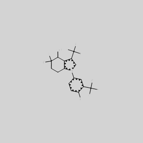 OC1c2c(C(F)(F)F)cn(-c3ccc(F)c(C(F)(F)F)c3)c2CCC1(F)F